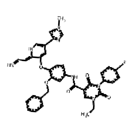 CCn1cc(C(=O)Nc2ccc(OC3=CC(c4cn(C)cn4)=CN/C3=C\C=N)c(OCc3ccccc3)c2)c(=O)n(-c2ccc(F)cc2)c1=O